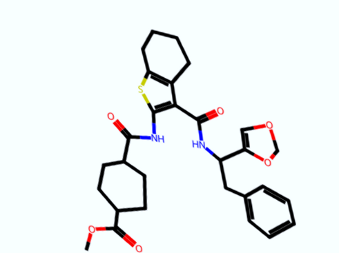 COC(=O)C1CCC(C(=O)Nc2sc3c(c2C(=O)NC(Cc2ccccc2)C2=COCO2)CCCC3)CC1